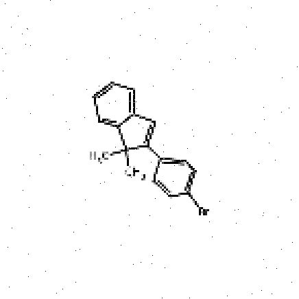 CC1(C)C(c2ccc(Br)cc2)=Cc2ccccc21